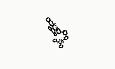 c1ccc(-c2nc(-c3ccccc3)nc(-c3cccc(-c4cccc(-c5ccc6c(c5)Sc5cc7ccccc7cc5C65c6ccccc6-c6ccccc65)c4)c3)n2)cc1